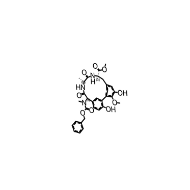 COC(=O)[C@@H]1Cc2cc(O)c(OC)c(c2)-c2cc(ccc2O)[C@H](N(C)C(=O)OCc2ccccc2)C(=O)N[C@H](C)C(=O)N1